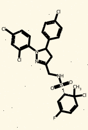 CC1(Cl)C=CC(F)=C[C@@H]1S(=O)(=O)NCC1=NN(c2ccc(Cl)cc2Cl)C(c2ccc(Cl)cc2)C1